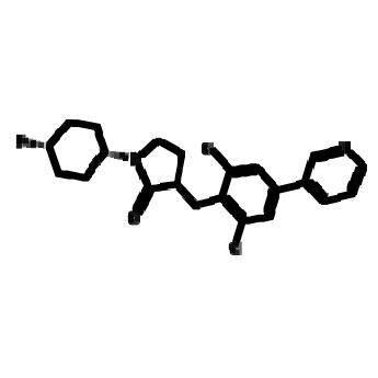 O=C1C(Cc2c(Cl)cc(-c3cccnc3)cc2Cl)CCN1[C@H]1CC[C@@H](F)CC1